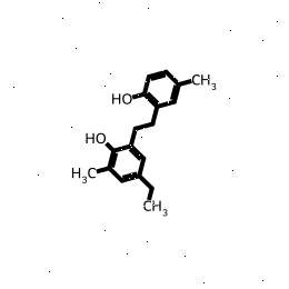 CCc1cc(C)c(O)c(CCc2cc(C)ccc2O)c1